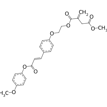 C=C(CC(=O)OC)C(=O)OCCOc1ccc(/C=C/C(=O)Oc2ccc(OC)cc2)cc1